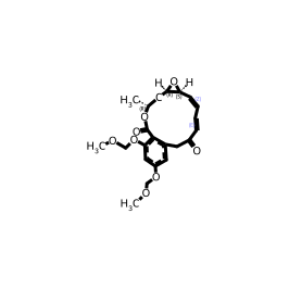 COCOc1cc2c(c(OCOC)c1)C(=O)O[C@H](C)C[C@H]1O[C@H]1/C=C\C=C\C(=O)C2